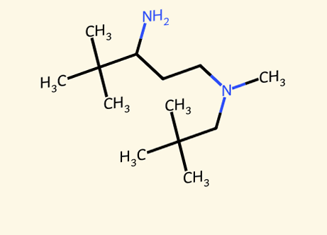 CN(CCC(N)C(C)(C)C)CC(C)(C)C